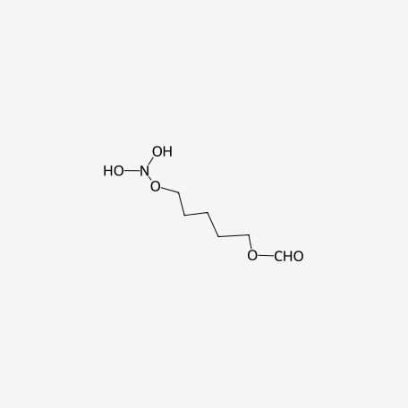 O=COCCCCCON(O)O